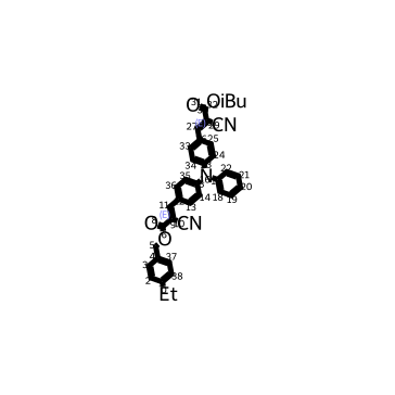 CCc1ccc(COC(=O)/C(C#N)=C/c2ccc(N(c3ccccc3)c3ccc(/C=C(\C#N)C(=O)OCC(C)C)cc3)cc2)cc1